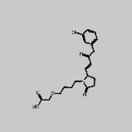 O=C(O)COCCCCN1C(=O)CCC1C=CC(=O)Cc1cccc(Cl)c1